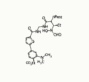 CCCCCC(C(=O)NCNC(=O)c1ccc(-c2ccc(C(=O)OCC)c(N(C)C)c2)o1)[C@@H](CC)N(O)C=O